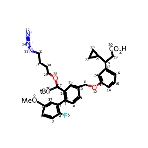 COc1ccc(F)c(-c2ccc(COc3cccc(C(CC(=O)O)C4CC4)c3)cc2C(OCCCCN=[N+]=[N-])C(C)(C)C)c1